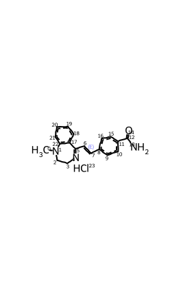 CN1CCN=C(/C=C/c2ccc(C(N)=O)cc2)c2ccccc21.Cl